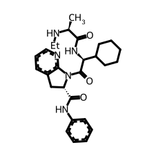 CCN[C@@H](C)C(=O)N[C@H](C(=O)N1c2ncccc2C[C@H]1C(=O)Nc1ccccc1)C1CCCCC1